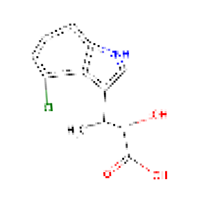 C[C@H](c1c[nH]c2cccc(Cl)c12)[C@H](O)C(=O)O